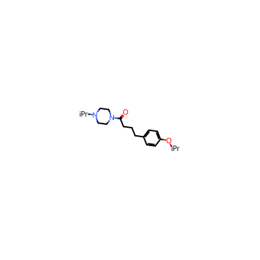 CC(C)Oc1ccc(CCCC(=O)N2CCN(C(C)C)CC2)cc1